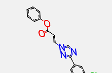 O=C(C=Cn1cnc(-c2cccc(Cl)c2)n1)Oc1ccccc1